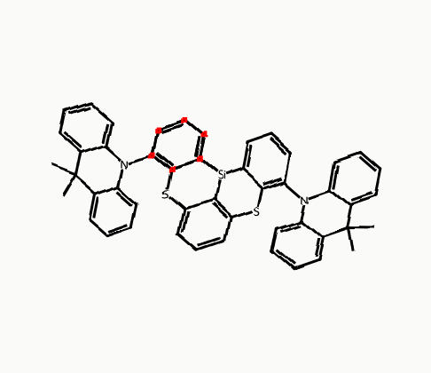 CC1(C)c2ccccc2N(c2cccc3c2Sc2cccc4c2[Si]3(c2ccccc2)c2cccc(N3c5ccccc5C(C)(C)c5ccccc53)c2S4)c2ccccc21